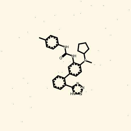 Cc1ccc(NC(=O)Nc2cc(-c3ccccc3-c3nnn[nH]3)ccc2N(C)C2CCCC2)cc1